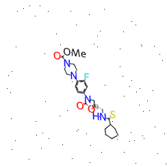 COC(=O)N1CCN(c2ccc(N3C[C@H](CNC(=S)C4CCCCC4)OC3=O)cc2F)CC1